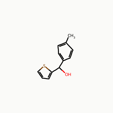 Cc1ccc(C(O)c2cccs2)cc1